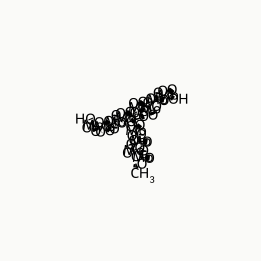 CC[O][Mo](=[O])(=[O])[O][Mo](=[O])(=[O])[O][Mo](=[O])(=[O])[O][Mo](=[O])(=[O])[O]P(=O)([O][Mo](=[O])(=[O])[O][Mo](=[O])(=[O])[O][Mo](=[O])(=[O])[O][Mo](=[O])(=[O])[OH])[O][Mo](=[O])(=[O])[O][Mo](=[O])(=[O])[O][Mo](=[O])(=[O])[O][Mo](=[O])(=[O])[OH]